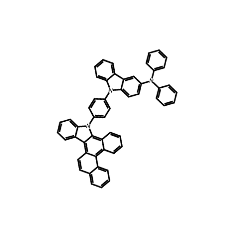 c1ccc(N(c2ccccc2)c2ccc3c(c2)c2ccccc2n3-c2ccc(-n3c4ccccc4c4c5ccc6ccccc6c5c5ccccc5c43)cc2)cc1